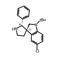 CC(C)(C)N1C[C@]2(CCN[C@@H]2c2ccccc2)c2cc(Cl)ccc21